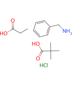 CC(C)(C)C(=O)O.CCC(=O)O.Cl.NCc1ccccc1